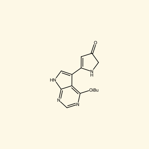 CC(C)COc1ncnc2[nH]cc(C3=CC(=O)CN3)c12